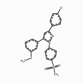 CSc1cccc(-c2cc(-c3ccc(Cl)cc3)nn2-c2ccc(S(C)(=O)=O)cc2)c1